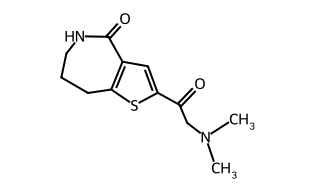 CN(C)CC(=O)c1cc2c(s1)CCCNC2=O